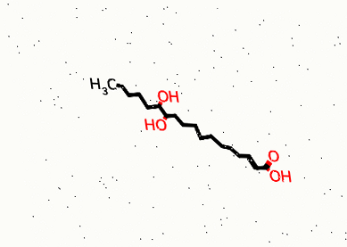 CCCCCC(O)C(O)CCCCCCCCC=CC(=O)O